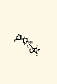 CN1C(=O)C2=C(C1=O)N(CC(=O)Nc1cnc(-c3cncc(F)c3)cn1)CCC2